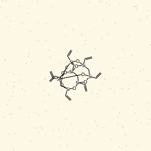 C=C[Si]12C[Si]3(C=C)O[Si]4(C=C)C[Si]5(C=C)O[Si](C=C)(C[Si](C=C)(O1)O4)O[Si](C=C)(C[Si](C=C)(O3)O5)O2